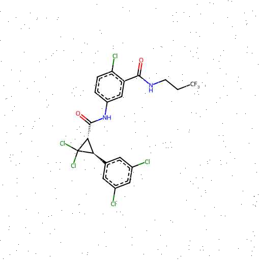 O=C(NCCC(F)(F)F)c1cc(NC(=O)[C@@H]2[C@@H](c3cc(Cl)cc(Cl)c3)C2(Cl)Cl)ccc1Cl